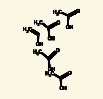 C=CO.CC(=O)O.CC(=O)O.CC(=O)O.CC(=O)O